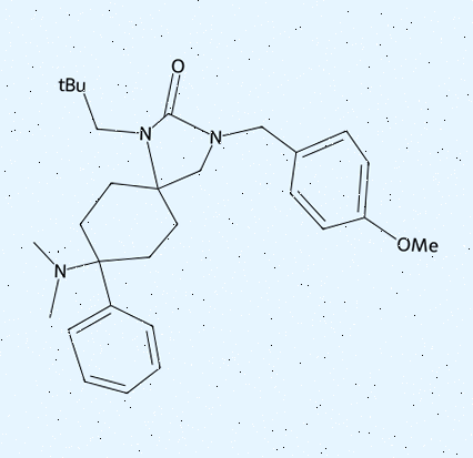 COc1ccc(CN2CC3(CCC(c4ccccc4)(N(C)C)CC3)N(CC(C)(C)C)C2=O)cc1